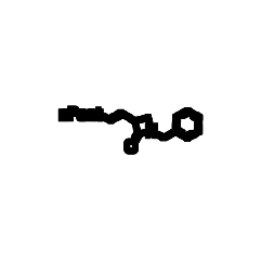 CCCCC/C=C/C1CN(Cc2ccccc2)C1=O